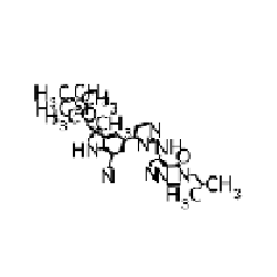 CC(C)CN1CCn2ncc(Nc3nccc(-c4cc(C#N)c5c(c4)[C@@](C)(CO[Si](C)(C)C(C)(C)C)CN5)n3)c2C1=O